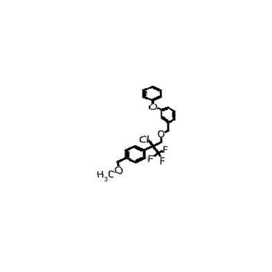 COCc1ccc(C(Cl)(COCc2cccc(Oc3ccccc3)c2)C(F)(F)F)cc1